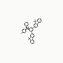 Cc1ccc(N(c2ccccc2)c2cc(-c3ccc4c(c3)C(C)(C)c3ccccc3-4)cc(-c3ccc4c(c3)C(C)(C)c3ccccc3-4)c2)cc1